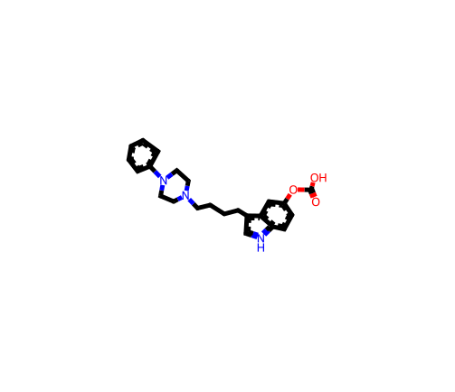 O=C(O)Oc1ccc2[nH]cc(CCCCN3CCN(c4ccccc4)CC3)c2c1